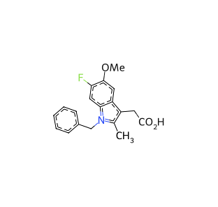 COc1cc2c(CC(=O)O)c(C)n(Cc3ccccc3)c2cc1F